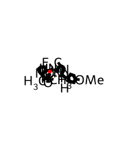 COc1ccc(Nc2ncc(C(F)(F)F)c(NCc3cccnc3N(C)S(C)(=O)=O)n2)cc1